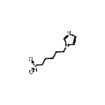 O=[SH](=O)CCCCCn1ccnc1